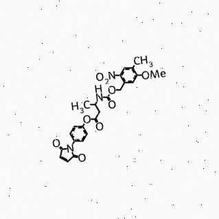 COc1cc(COC(=O)NC(C)CC(=O)Oc2ccc(N3C(=O)C=CC3=O)cc2)c([N+](=O)[O-])cc1C